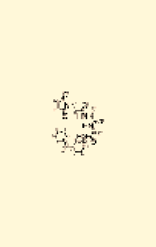 C[C@@H](c1ccccc1)c1cccc(NC(=O)[C@H](C)NC(=O)[C@H](C)NC(=O)CCN2C(=O)C=CC2=O)c1